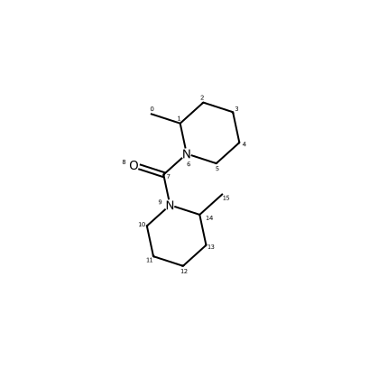 CC1CCCCN1C(=O)N1CCCCC1C